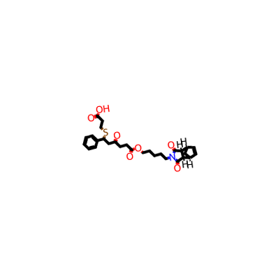 O=C(O)CCSC(CC(=O)CCC(=O)OCCCCCN1C(=O)[C@@H]2[C@H](C1=O)[C@H]1C=C[C@@H]2C1)c1ccccc1